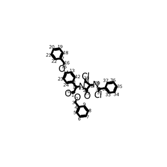 O=C(OCc1ccccc1)C(c1ccc(OCc2ccccc2)cc1)N1C(=O)C(N=C(Cl)c2ccccc2)C1Cl